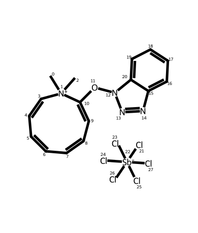 C[N+]1(C)C=CC=CC=CC=C1On1nnc2ccccc21.[Cl][Sb-]([Cl])([Cl])([Cl])([Cl])[Cl]